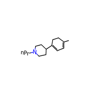 CCCN1CCC(C2=CC=C(C)CC2)CC1